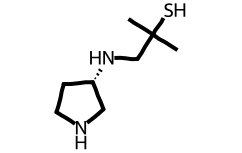 CC(C)(S)CN[C@H]1CCNC1